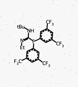 CC/N=C(/NC(C)(C)C)P(c1cc(C(F)(F)F)cc(C(F)(F)F)c1)c1cc(C(F)(F)F)cc(C(F)(F)F)c1